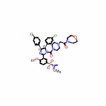 CCOc1ccc(S(=O)(=O)N(C)OC)cc1C1=N[C@@H](c2ccc(Cl)cc2)[C@@H](c2ccc(Cl)cc2)N1C(=O)N1CCN(CC(=O)N2CCOCC2)CC1